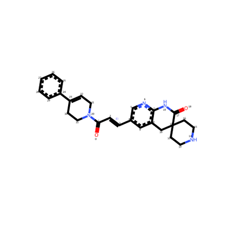 O=C(/C=C/c1cnc2c(c1)CC1(CCNCC1)C(=O)N2)N1CC=C(c2ccccc2)CC1